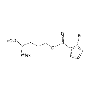 CCCCCCCCC(CCCCCC)CCCOC(=O)c1ccsc1Br